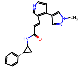 Cn1cc(-c2ccncc2/C=C/C(=O)NC2C[C@@H]2c2ccccc2)cn1